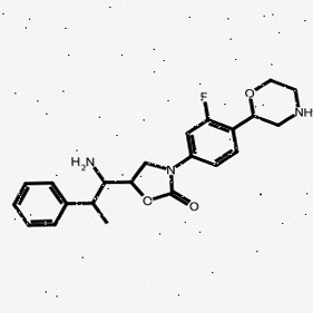 CC(c1ccccc1)C(N)C1CN(c2ccc(C3CNCCO3)c(F)c2)C(=O)O1